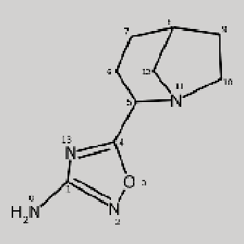 Nc1noc(C2CCC3CCN2C3)n1